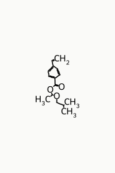 C=Cc1ccc(C(=O)OC(C)OCC(C)C)cc1